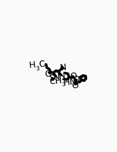 CCCCC(=O)c1cc(C#N)c(N2CCC(C(=O)NS(=O)(=O)Cc3ccccc3)CC2)nc1SC